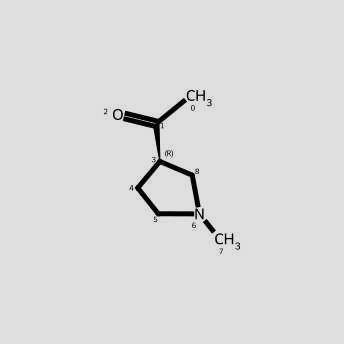 CC(=O)[C@@H]1CCN(C)C1